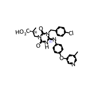 Cc1cncc(Oc2ccc(/N=c3\[nH]c(=O)n(C[C@H](C)C(=O)O)c(=O)n3Cc3ccc(Cl)cc3)cc2)c1